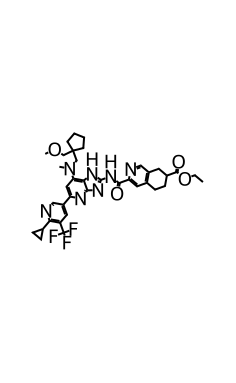 CCOC(=O)C1CCc2cc(C(=O)Nc3nc4nc(-c5cnc(C6CC6)c(C(F)(F)F)c5)cc(N(C)CC5(COC)CCCC5)c4[nH]3)ncc2C1